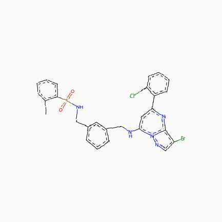 Cc1ccccc1S(=O)(=O)NCc1cccc(CNc2cc(-c3ccccc3Cl)nc3c(Br)cnn23)c1